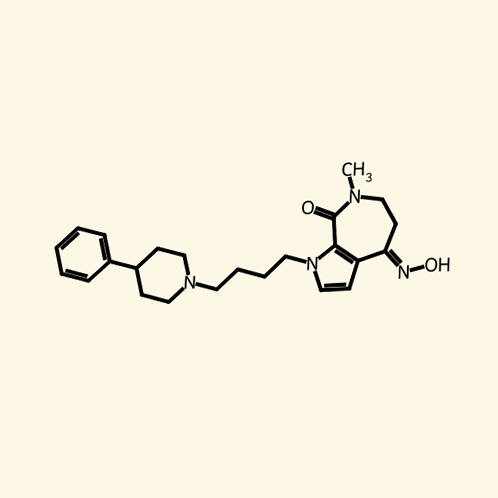 CN1CCC(=NO)c2ccn(CCCCN3CCC(c4ccccc4)CC3)c2C1=O